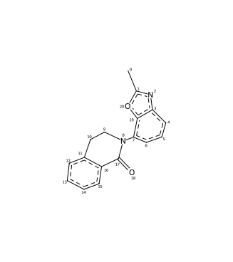 Cc1nc2cccc(N3CCc4ccccc4C3=O)c2o1